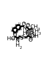 CC(C)[C@H](N)C(=O)NC(=O)c1ccc2ccccc2c1.NC(CSSC[C@H](N)C(=O)O)C(=O)O